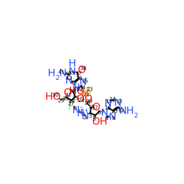 [N-]=[N+]=NC1[C@@H](O)[C@H](n2cnc3c(N)ncnc32)O[C@@H]1COP(O)(=S)O[C@@H]1[C@H](F)[C@@H](CO)O[C@H]1n1cnc2c(=O)[nH]c(N)nc21